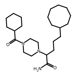 NC(=O)C(CCCC1CCCCCCC1)N1CCN(C(=O)C2CCCCC2)CC1